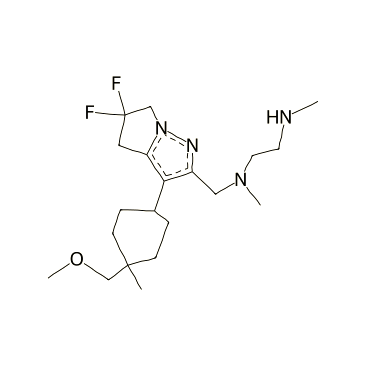 CNCCN(C)Cc1nn2c(c1C1CCC(C)(COC)CC1)CC(F)(F)C2